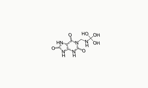 O=c1[nH]c2[nH]c(=O)n(CNC(O)(O)O)c(=O)c2[nH]1